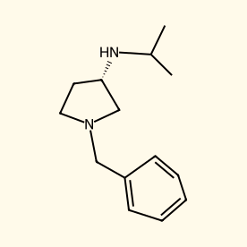 CC(C)N[C@H]1CCN(Cc2ccccc2)C1